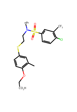 CCCN(CCSc1ccc(OCC(=O)O)c(C)c1)S(=O)(=O)c1ccc(Cl)c(C(F)(F)F)c1